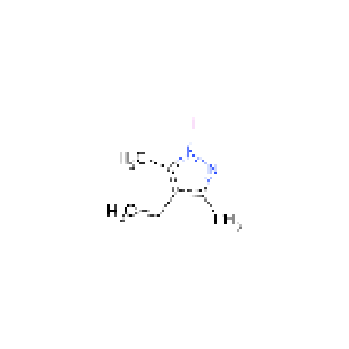 C=Cc1c(C)nn(I)c1C